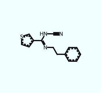 N#CN/C(=N\CCc1ccccc1)c1ccsc1